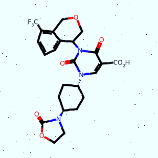 O=C(O)c1cn([C@H]2CC[C@H](N3CCOC3=O)CC2)c(=O)n(C2COCc3c2cccc3C(F)(F)F)c1=O